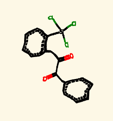 O=C(C(=O)c1ccccc1[Si](Cl)(Cl)Cl)c1ccccc1